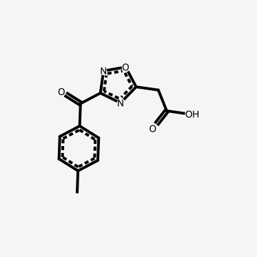 Cc1ccc(C(=O)c2noc(CC(=O)O)n2)cc1